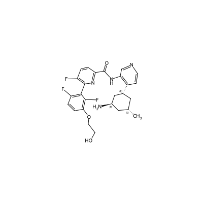 C[C@@H]1C[C@@H](N)C[C@H](c2ccncc2NC(=O)c2ccc(F)c(-c3c(F)ccc(OCCO)c3F)n2)C1